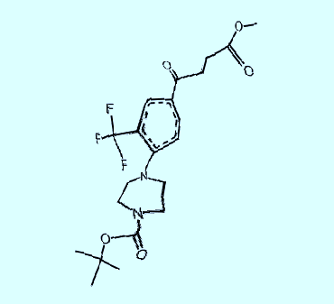 COC(=O)CCC(=O)c1ccc(N2CCN(C(=O)OC(C)(C)C)CC2)c(C(F)(F)F)c1